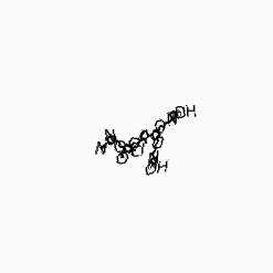 Cc1c(COc2cc(OCc3cncc(C#N)c3)c(C=O)cc2Cl)cccc1-c1cc(OCCCN2CC[C@@H](O)C2)cc(OCCCN2CC[C@@H](O)C2)c1